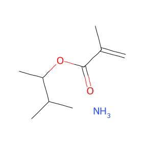 C=C(C)C(=O)OC(C)C(C)C.N